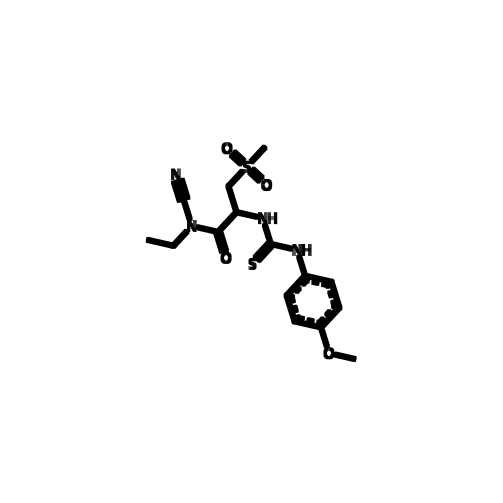 CCN(C#N)C(=O)C(CS(C)(=O)=O)NC(=S)Nc1ccc(OC)cc1